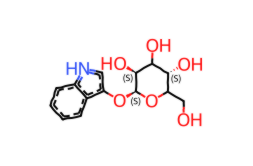 OCC1O[C@@H](Oc2c[nH]c3ccccc23)[C@@H](O)C(O)[C@@H]1O